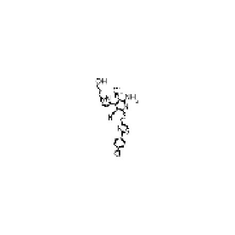 [C-]#[N+]c1c(N)nc(SCc2csc(-c3ccc(Cl)cc3)n2)c(C#N)c1-c1ccn(CCCO)n1